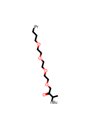 CCCCC(C)C(=O)COCCOCCOCCOCCCC(C)C